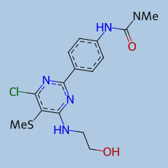 CNC(=O)Nc1ccc(-c2nc(Cl)c(SC)c(NCCO)n2)cc1